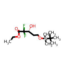 CCOC(=O)C(F)(F)[C@H](O)CCO[Si](C)(C)C(C)(C)C